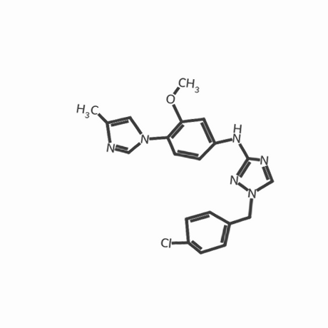 COc1cc(Nc2ncn(Cc3ccc(Cl)cc3)n2)ccc1-n1cnc(C)c1